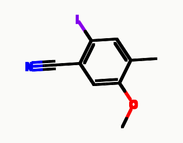 COc1cc(C#N)c(I)cc1C